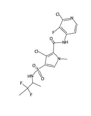 CC(NS(=O)(=O)c1cn(C)c(C(=O)Nc2ccnc(Cl)c2F)c1Cl)C(C)(F)F